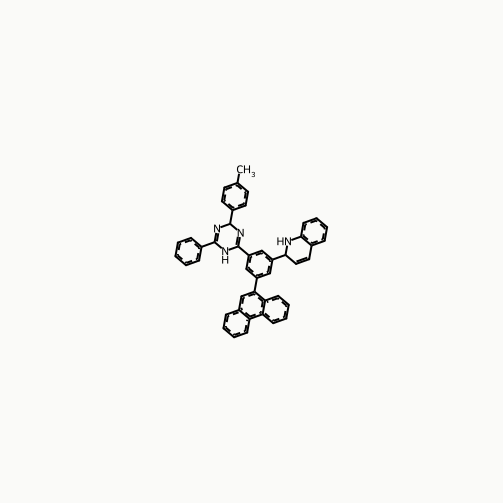 Cc1ccc(C2N=C(c3ccccc3)NC(c3cc(-c4cc5ccccc5c5ccccc45)cc(C4C=Cc5ccccc5N4)c3)=N2)cc1